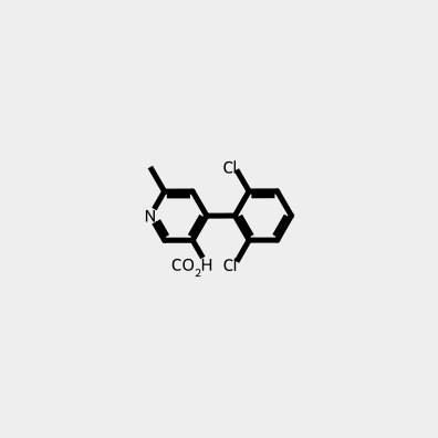 Cc1cc(-c2c(Cl)cccc2Cl)c(C(=O)O)cn1